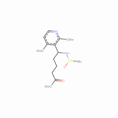 COC(=O)CCCC(N[S+]([O-])C(C)(C)C)c1c(OC)ccnc1OC